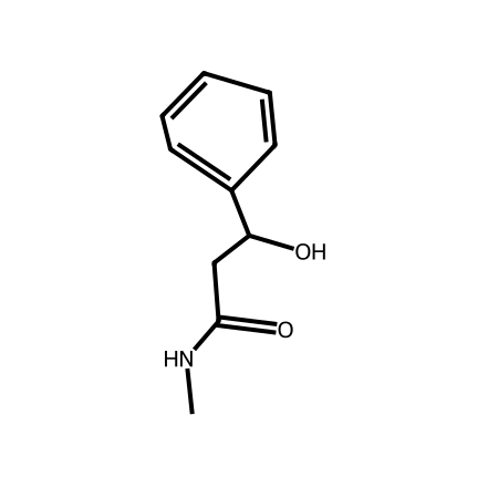 CNC(=O)CC(O)c1ccccc1